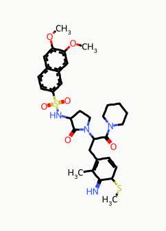 COc1cc2ccc(S(=O)(=O)NC3CCN(C(CC4=C(C)C(=N)C(SC)C=C4)C(=O)N4CCCCC4)C3=O)cc2cc1OC